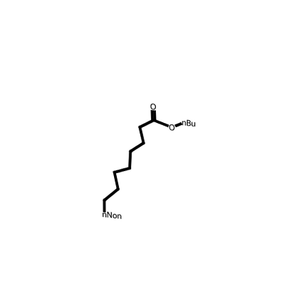 CCCCCCCCCCCCCCCCC(=O)OCCCC